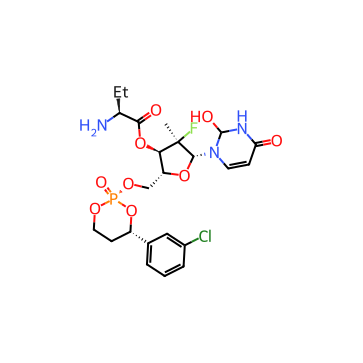 CC[C@H](N)C(=O)O[C@@H]1[C@@H](CO[P@@]2(=O)OCC[C@@H](c3cccc(Cl)c3)O2)O[C@@H](N2C=CC(=O)NC2O)[C@]1(C)F